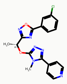 C[C@@H](Oc1nnc(-c2ccncc2)n1C)c1noc(-c2cccc(Cl)c2)n1